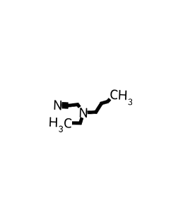 CCCCN(CC)CC#N